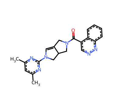 Cc1cc(C)nc(N2C=C3CN(C(=O)c4cnnc5ccccc45)CC3C2)n1